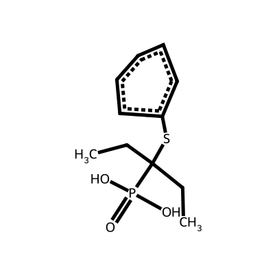 CCC(CC)(Sc1ccccc1)P(=O)(O)O